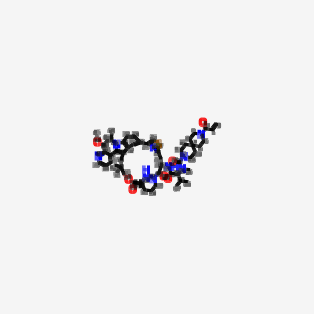 C=CC(=O)N1CCC2(CC1)CCN(C(=O)N(C)[C@H](C(=O)N[C@H]1Cc3nc(cs3)-c3ccc4c(c3)c(c(-c3cccnc3[C@H](C)OC)n4CC)CC(C)(C)COC(=O)[C@@H]3CCCN(N3)C1=O)C(C)C)CC2